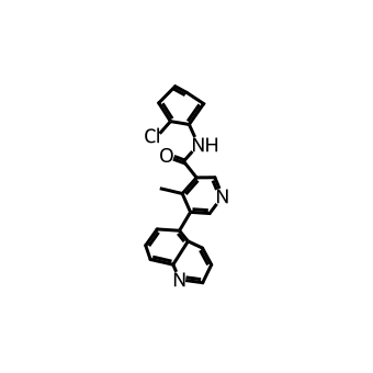 Cc1c(C(=O)Nc2ccccc2Cl)cncc1-c1cccc2ncccc12